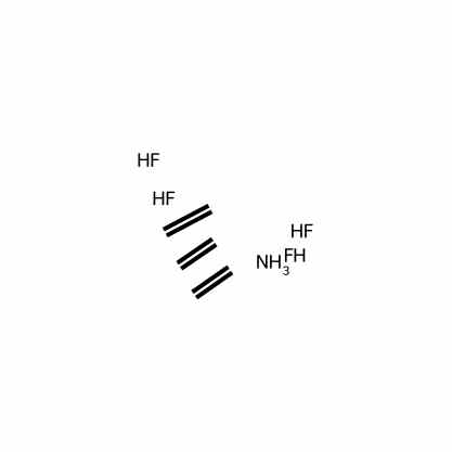 C=C.C=C.C=C.F.F.F.F.N